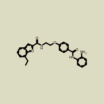 CCc1cccc2cc(C(=O)NCCOc3ccc(C(=O)Nc4ccccc4N)cc3)oc12